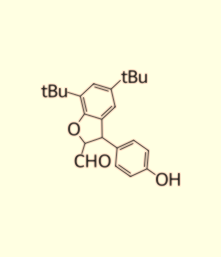 CC(C)(C)c1cc2c(c(C(C)(C)C)c1)OC(C=O)C2c1ccc(O)cc1